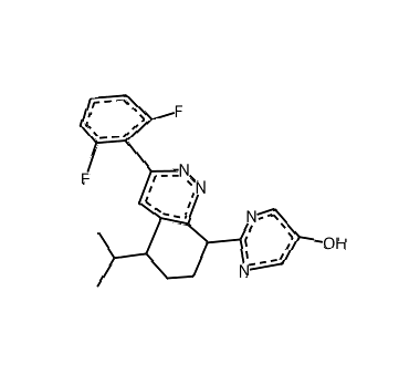 CC(C)C1CCC(c2ncc(O)cn2)c2nnc(-c3c(F)cccc3F)cc21